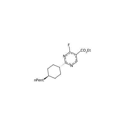 CCCCC[C@H]1CC[C@H](c2ncc(C(=O)OCC)c(F)n2)CC1